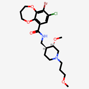 COCCCN1CC[C@@H](CNC(=O)c2cc(Cl)c(Br)c3c2OCCCO3)[C@H](OC)C1